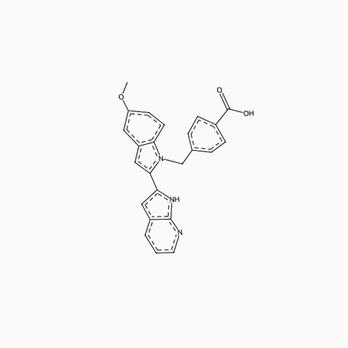 COc1ccc2c(c1)cc(-c1cc3cccnc3[nH]1)n2Cc1ccc(C(=O)O)cc1